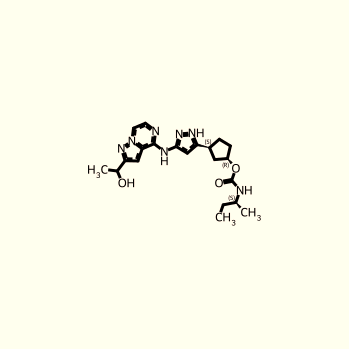 CC[C@H](C)NC(=O)O[C@@H]1CC[C@H](c2cc(Nc3nccn4nc(C(C)O)cc34)n[nH]2)C1